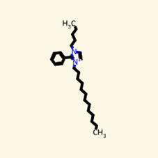 CCCCCCCCCCCCC[n+]1ccn(CCCCC)c1-c1ccccc1